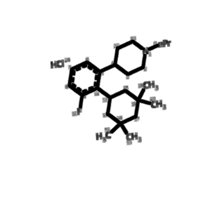 CCCN1CCC(c2cccc(F)c2C2CC(C)(C)CC(C)(C)C2)CC1.Cl